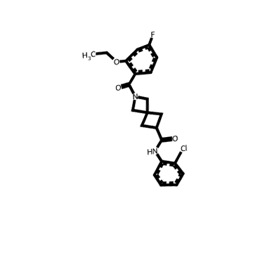 CCOc1cc(F)ccc1C(=O)N1CC2(CC(C(=O)Nc3ccccc3Cl)C2)C1